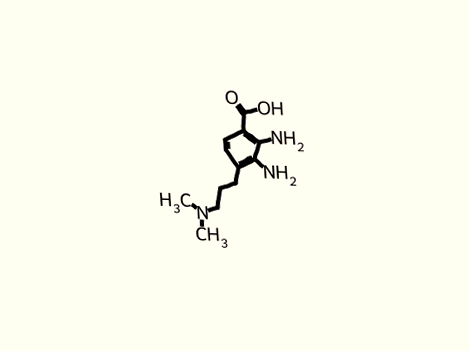 CN(C)CCCc1ccc(C(=O)O)c(N)c1N